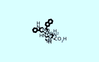 CC(C)C[C@H](NC(=O)[C@H]1Cc2c([nH]c3ccccc23)CN1C(=O)c1ccc2ccccc2c1)C(=O)N[C@@H](CC(=O)O)C(N)=O